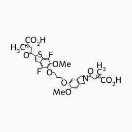 COc1cc2c(cc1OCCCOc1c(OC)c(F)c3sc(C(=O)C[C@H](C)C(=O)O)cc3c1F)CN(C(=O)C[C@H](C)C(=O)O)C2